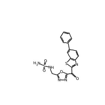 NS(=O)(=O)NCc1nnc(C(=O)c2nc3ccc(-c4ccccc4)cc3s2)o1